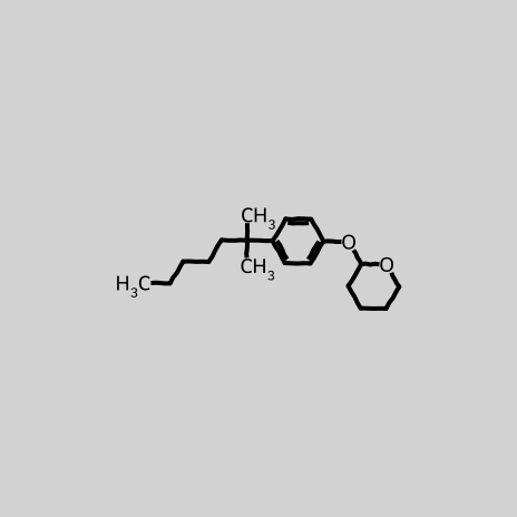 CCCCCC(C)(C)c1ccc(OC2CCCCO2)cc1